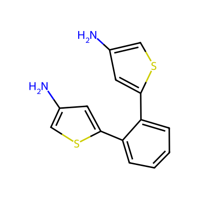 Nc1csc(-c2ccccc2-c2cc(N)cs2)c1